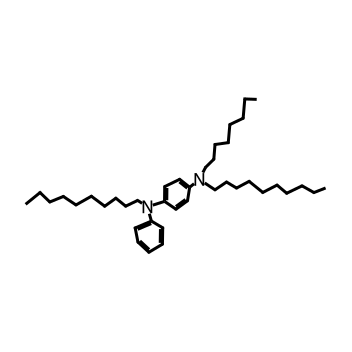 CCCCCCCCCCN(CCCCCCCC)c1ccc(N(CCCCCCCCCC)c2ccccc2)cc1